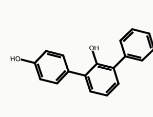 Oc1ccc(-c2cccc(-c3ccccc3)c2O)cc1